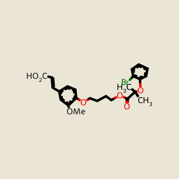 COc1cc(/C=C/C(=O)O)ccc1OCCCCOC(=O)C(C)(C)Oc1ccccc1Br